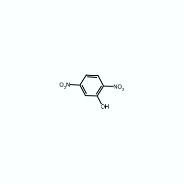 O=[N+]([O-])c1ccc([N+](=O)[O-])c(O)c1